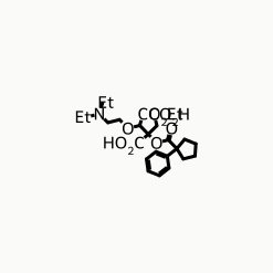 CCOC(=O)C(OCCN(CC)CC)C(CC(=O)O)(OC(=O)C1(c2ccccc2)CCCC1)C(=O)O